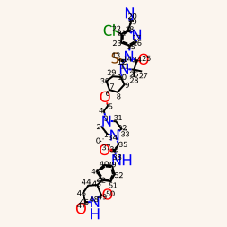 C[C@@H]1CN(CCO[C@H]2CC[C@H](N3C(=S)N(c4cnc(C#N)c(Cl)c4)C(=O)C3(C)C)CC2)C[C@H](C)N1CC(=O)Nc1ccc(C2CCC(=O)NC2=O)cc1